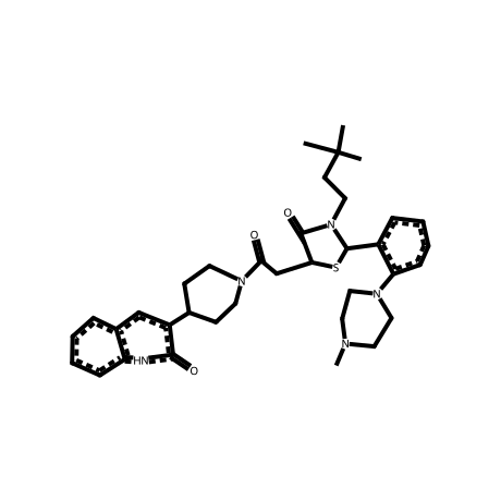 CN1CCN(c2ccccc2C2SC(CC(=O)N3CCC(c4cc5ccccc5[nH]c4=O)CC3)C(=O)N2CCC(C)(C)C)CC1